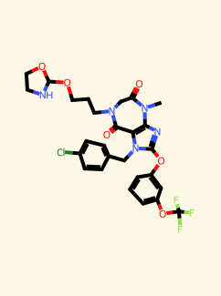 CN1C(=O)CN(CCCOC2NCCO2)C(=O)c2c1nc(Oc1cccc(OC(F)(F)F)c1)n2Cc1ccc(Cl)cc1